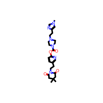 Cn1cnc(CCN2CCN(C(=O)Oc3ccc(CCN4C(=O)CC(C)(C)CC4=O)cn3)CC2)c1